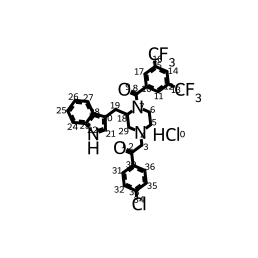 Cl.O=C(CN1CCN(C(=O)c2cc(C(F)(F)F)cc(C(F)(F)F)c2)C(Cc2c[nH]c3ccccc23)C1)c1ccc(Cl)cc1